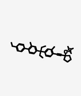 CCc1ccc(-c2ccc(C(CC)(CC)c3ccc(C#CC4(O[Si](C)(C)C)CCCC4)c(C)c3)cc2C)cc1